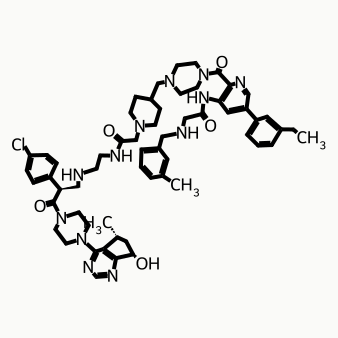 CCc1cccc(-c2cnc(C(=O)N3CCN(CC4CCN(CC(=O)NCCNC[C@@H](C(=O)N5CCN(c6ncnc7c6[C@H](C)C[C@H]7O)CC5)c5ccc(Cl)cc5)CC4)CC3)c(NC(=O)CNCc3cccc(C)c3)c2)c1